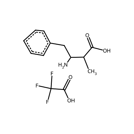 CC(C(=O)O)C(N)Cc1ccccc1.O=C(O)C(F)(F)F